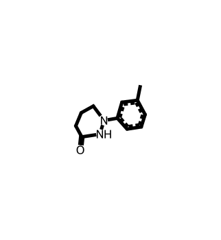 Cc1cccc(N2CCCC(=O)N2)c1